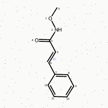 CONC(=O)/C=C/c1c[c]ccc1